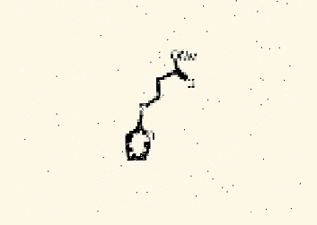 COC(=O)CCSc1ccco1